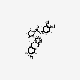 Cc1nnc([C@H]2CCCN2C(=O)Nc2ccc(Cl)c(Cl)c2)n1Cc1ccc(Cl)cc1